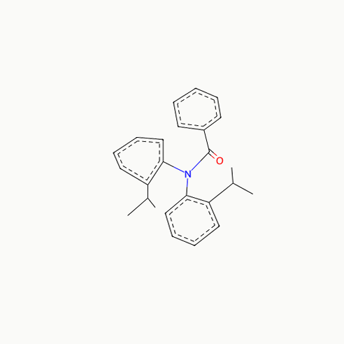 CC(C)c1ccccc1N(C(=O)c1ccccc1)c1ccccc1C(C)C